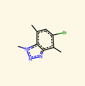 Cc1c(Br)cc(C)c2c1nnn2C